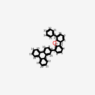 C1=CC2c3cccc(-c4ccc5c6ccccc6c6ccccc6c5c4)c3OC2C(c2ccccc2)=C1